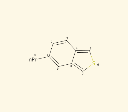 CCCc1ccc2cscc2c1